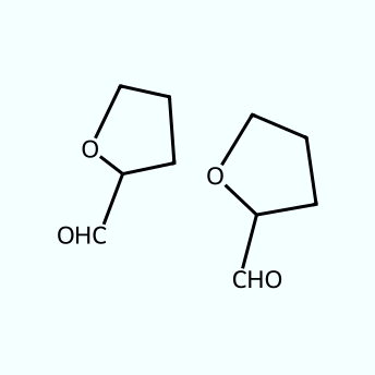 O=CC1CCCO1.O=CC1CCCO1